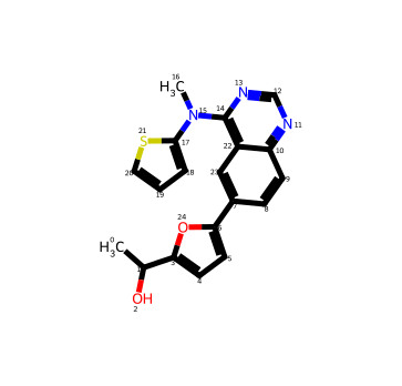 CC(O)c1ccc(-c2ccc3ncnc(N(C)c4cccs4)c3c2)o1